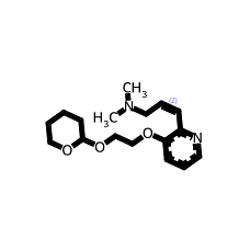 CN(C)C/C=C\c1ncccc1OCCOC1CCCCO1